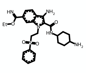 CCOC(=N)c1ccc2c(N)c(C(=O)NC3CCC(N)CC3)n(CCS(=O)(=O)c3ccccc3)c2c1